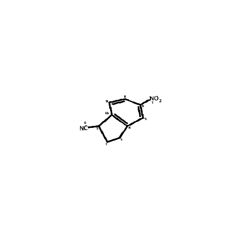 N#CC1CCc2cc([N+](=O)[O-])ccc21